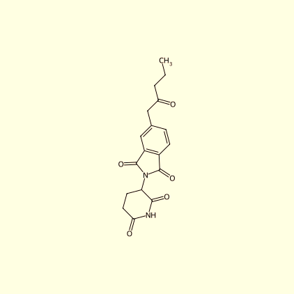 CCCC(=O)Cc1ccc2c(c1)C(=O)N(C1CCC(=O)NC1=O)C2=O